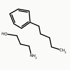 CCCCCc1ccccc1.NCCCO